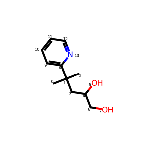 CC(C)(CC(O)CO)c1ccccn1